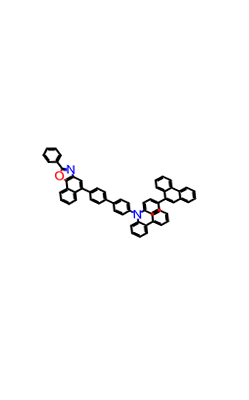 c1ccc(-c2nc3cc(-c4ccc(-c5ccc(N(c6ccc(-c7cc8ccccc8c8ccccc78)cc6)c6ccccc6-c6ccccc6)cc5)cc4)c4ccccc4c3o2)cc1